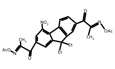 CCC1(CC)c2cc(C(=O)/C(C)=N/OC(C)=O)ccc2-c2c([N+](=O)[O-])cc(C(=O)/C(C)=N/OC(C)=O)cc21